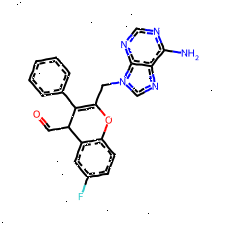 Nc1ncnc2c1ncn2CC1=C(c2ccccc2)C(C=O)c2cc(F)ccc2O1